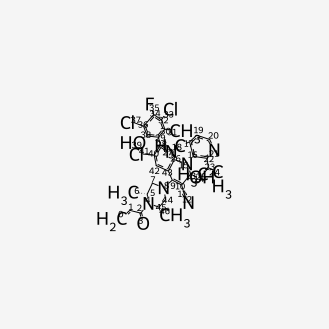 C=CC(=O)N1[C@H](C)CN(C2=C(C#N)C(O)N(c3c(C)ccnc3C(C)C)c3nc(-c4c(C)c(Cl)c(F)c(Cl)c4O)c(Cl)cc32)C[C@@H]1C